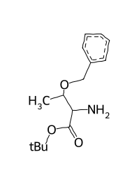 CC(OCc1ccccc1)C(N)C(=O)OC(C)(C)C